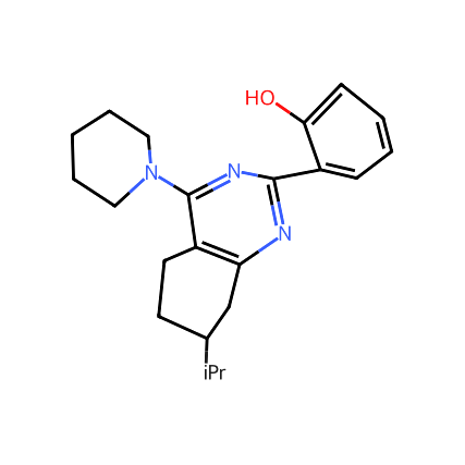 CC(C)C1CCc2c(nc(-c3ccccc3O)nc2N2CCCCC2)C1